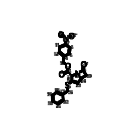 O=C(OCc1ccc([N+](=O)[O-])cc1)[C@@H]1C(SCc2ccccc2)=CC2CC(=O)N21